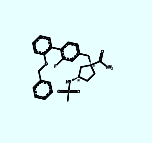 CS(=O)(=O)N[C@H]1CC[C@](Cc2ccc(-c3ccccc3OCc3ccccc3)c(F)c2)(C(N)=O)C1